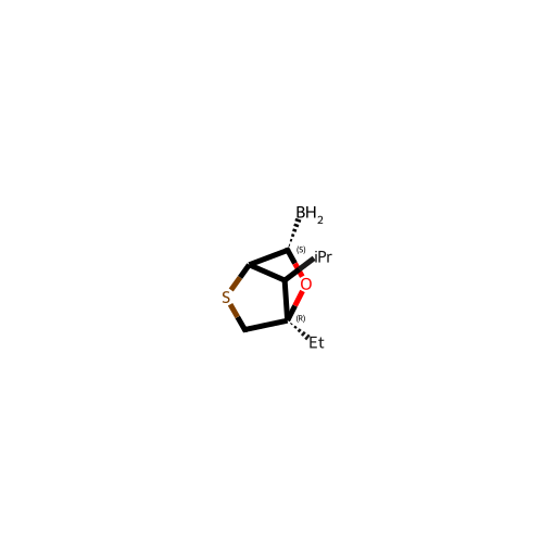 B[C@@H]1O[C@@]2(CC)CSC1C2C(C)C